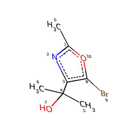 Cc1nc(C(C)(C)O)c(Br)o1